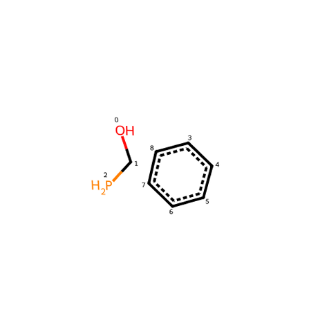 OCP.c1ccccc1